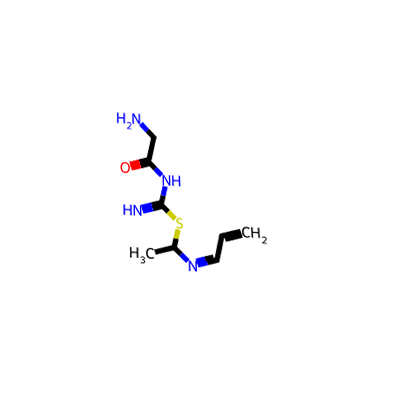 C=C/C=N\C(C)SC(=N)NC(=O)CN